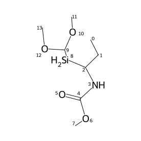 CCC(NC(=O)OC)[SiH2]C(OC)OC